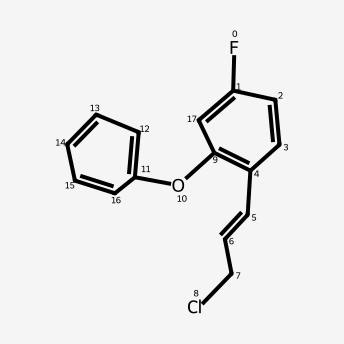 Fc1ccc(C=CCCl)c(Oc2ccccc2)c1